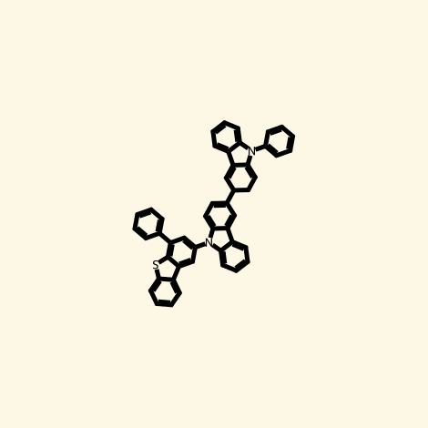 C1=c2c(n(-c3ccccc3)c3ccccc23)=CCC1c1ccc2c(c1)c1ccccc1n2-c1cc(-c2ccccc2)c2sc3ccccc3c2c1